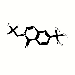 CC(C)(C)c1ccc2c(=O)n(CC(F)(F)F)cnc2c1